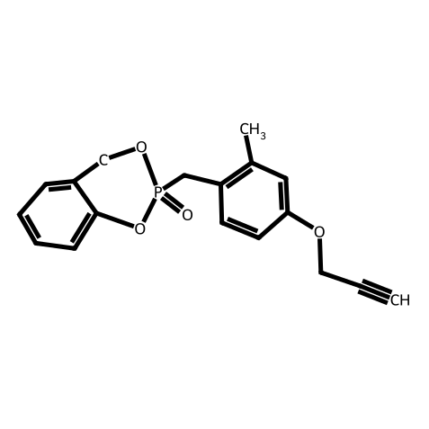 C#CCOc1ccc(CP2(=O)OCc3ccccc3O2)c(C)c1